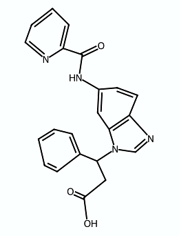 O=C(O)CC(c1ccccc1)n1cnc2ccc(NC(=O)c3ccccn3)cc21